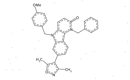 COc1ccc(Cn2c3cc(-c4c(C)noc4C)ccc3c3c2ccc(=O)n3Cc2ccccc2)cc1